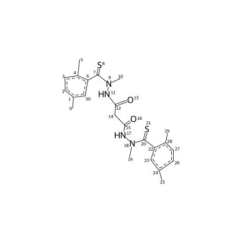 Cc1ccc(C)c(C(=S)N(C)NC(=O)CC(=O)NN(C)C(=S)c2cc(C)ccc2C)c1